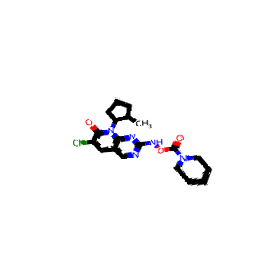 CC1CCCC1n1c(=O)c(Cl)cc2cnc(NOC(=O)N3CCCCC3)nc21